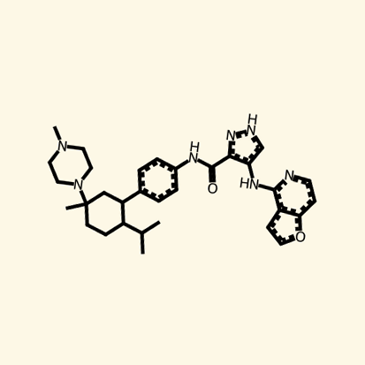 CC(C)C1CCC(C)(N2CCN(C)CC2)CC1c1ccc(NC(=O)c2n[nH]cc2Nc2nccc3occc23)cc1